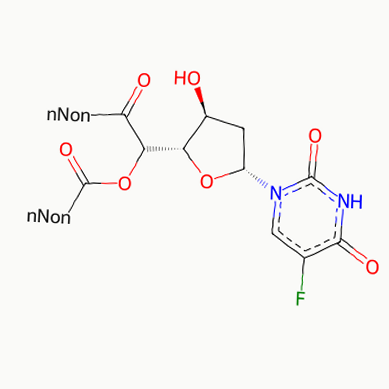 CCCCCCCCCC(=O)OC(C(=O)CCCCCCCCC)[C@H]1O[C@@H](n2cc(F)c(=O)[nH]c2=O)C[C@@H]1O